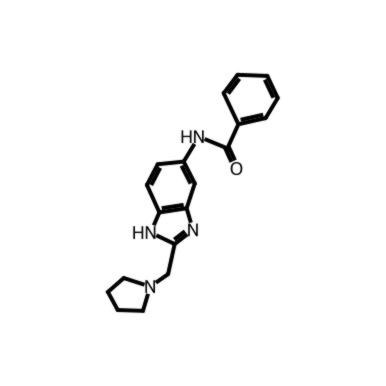 O=C(Nc1ccc2[nH]c(CN3CCCC3)nc2c1)c1ccccc1